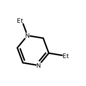 CCC1=NC=CN(CC)C1